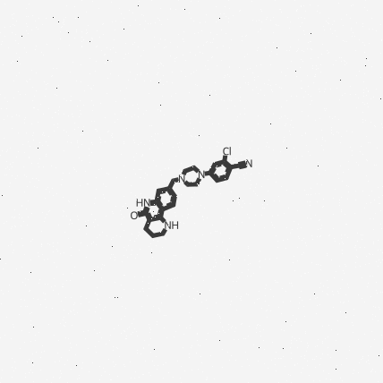 N#Cc1ccc(N2CCN(Cc3ccc4c5c(c(=O)[nH]c4c3)CCCN5)CC2)cc1Cl